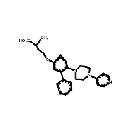 CC(CCOc1ccc(N2CCN(c3ccncc3)CC2)c(-c2ccccc2)c1)C(=O)O